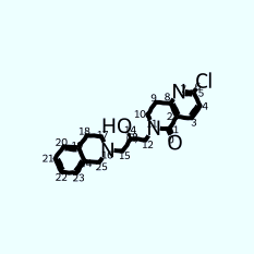 O=C1c2ccc(Cl)nc2CCN1C[C@H](O)CN1CCc2ccccc2C1